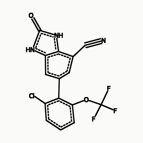 N#Cc1cc(-c2c(Cl)cccc2OC(F)(F)F)cc2[nH]c(=O)[nH]c12